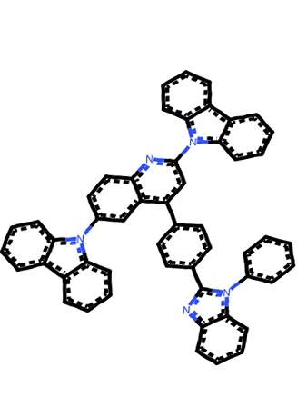 c1ccc(-n2c(-c3ccc(-c4cc(-n5c6ccccc6c6ccccc65)nc5ccc(-n6c7ccccc7c7ccccc76)cc45)cc3)nc3ccccc32)cc1